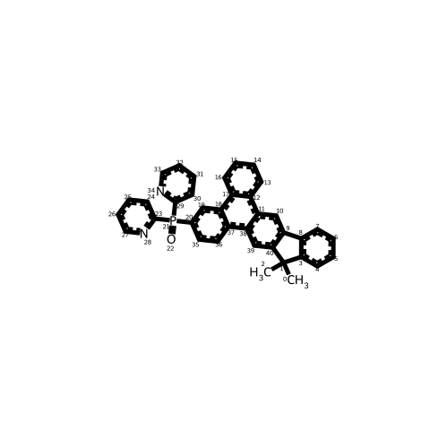 CC1(C)c2ccccc2-c2cc3c4ccccc4c4cc(P(=O)(c5ccccn5)c5ccccn5)ccc4c3cc21